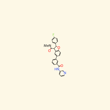 CNC(=O)C1c2cc(-c3cccc(C(=O)Nc4cccnc4)c3)ccc2OC1c1ccc(F)cc1